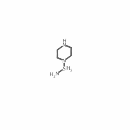 N[SiH2]N1CCNCC1